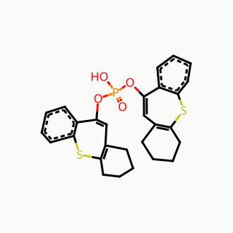 O=P(O)(OC1=CC2=C(CCCC2)Sc2ccccc21)OC1=CC2=C(CCCC2)Sc2ccccc21